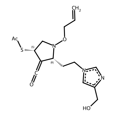 C=CCON1C[C@@H](SC(C)=O)C(=C=O)[C@H]1CCn1cnc(CO)c1